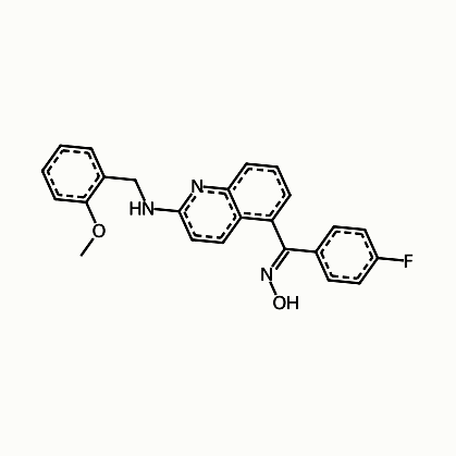 COc1ccccc1CNc1ccc2c(C(=NO)c3ccc(F)cc3)cccc2n1